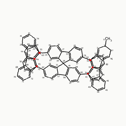 CC1C=c2c(c3ccccc3n2-c2ccc3c(c2)C2(c4cc(-n5c6ccccc6c6ccccc65)ccc4-3)c3cc(-n4c5ccccc5c5ccccc54)ccc3-c3ccc(-n4c5ccccc5c5ccccc54)cc32)=CC1